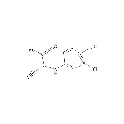 N#CC(Nc1ccc(Cl)c(Cl)c1)C(=O)O